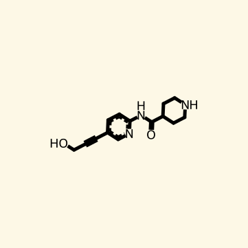 O=C(Nc1ccc(C#CCO)cn1)C1CCNCC1